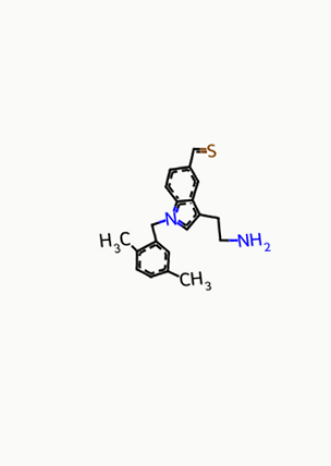 Cc1ccc(C)c(Cn2cc(CCN)c3cc(C=S)ccc32)c1